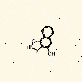 Oc1cc2ccccc2c2c1SNO2